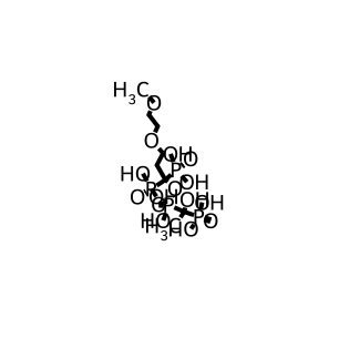 COCCOCCC(OP(=O)(O)C(C)(O)P(=O)(O)O)(P(=O)(O)O)P(=O)(O)O